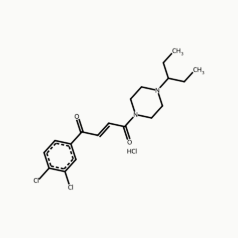 CCC(CC)N1CCN(C(=O)C=CC(=O)c2ccc(Cl)c(Cl)c2)CC1.Cl